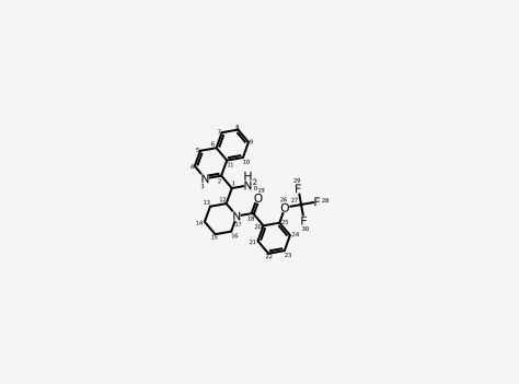 NC(c1nccc2ccccc12)C1CCCCN1C(=O)c1ccccc1OC(F)(F)F